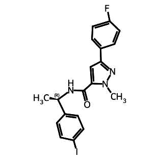 C[C@@H](NC(=O)c1cc(-c2ccc(F)cc2)nn1C)c1ccc(I)cc1